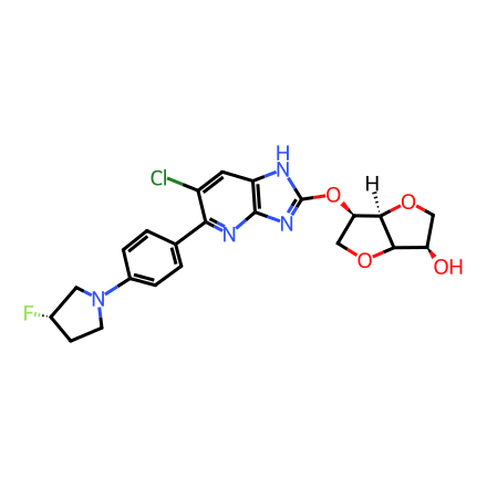 O[C@@H]1CO[C@H]2C1OC[C@H]2Oc1nc2nc(-c3ccc(N4CC[C@H](F)C4)cc3)c(Cl)cc2[nH]1